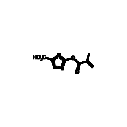 C=C(C)C(=O)Oc1nc(C(=O)O)cs1